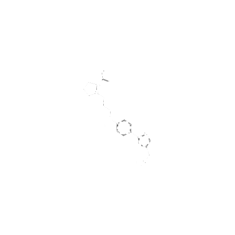 Cl.NCc1cnc(-c2ccc(OCCCN3CCC[C@H]3C(=O)O)cc2)s1